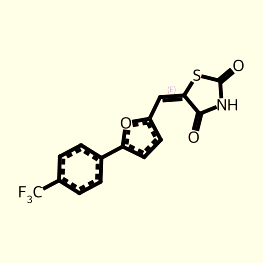 O=C1NC(=O)/C(=C\c2ccc(-c3ccc(C(F)(F)F)cc3)o2)S1